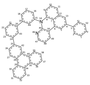 c1ccc(-c2cc3c4c(cccc4c2)N(c2cccc(-c4cccc(-c5ccc6c7ccccc7c7ccccc7c6c5)c4)c2)c2ncccc2-3)cc1